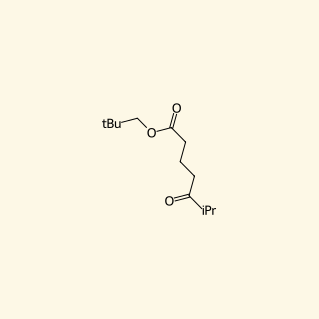 CC(C)C(=O)CCCC(=O)OCC(C)(C)C